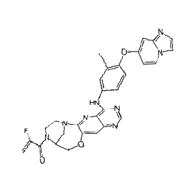 C=C(F)C(=O)N1CCN2CC1COc1cc3ncnc(Nc4ccc(Oc5ccn6ccnc6c5)c(C)c4)c3nc12